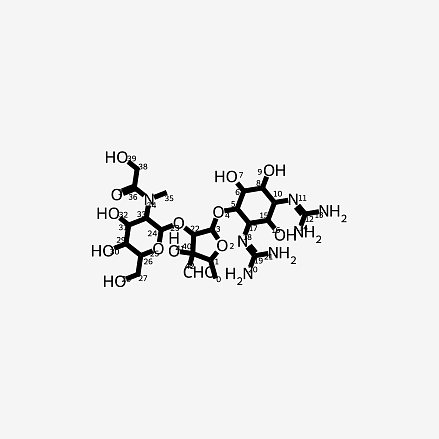 CC1OC(OC2C(O)C(O)C(N=C(N)N)C(O)C2N=C(N)N)C(OC2OC(CO)C(O)C(O)C2N(C)C(=O)CO)C1(O)C=O